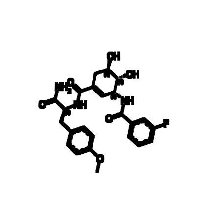 COc1ccc(C[C@H](NC(=O)C2=C[C@@H](NC(=O)c3cccc(F)c3)[C@@H](O)[C@H](O)C2)C(N)=O)cc1